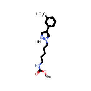 CC(C)(C)OC(=O)NCCCCCn1cc(-c2cccc(C(=O)O)c2)cn1.[LiH]